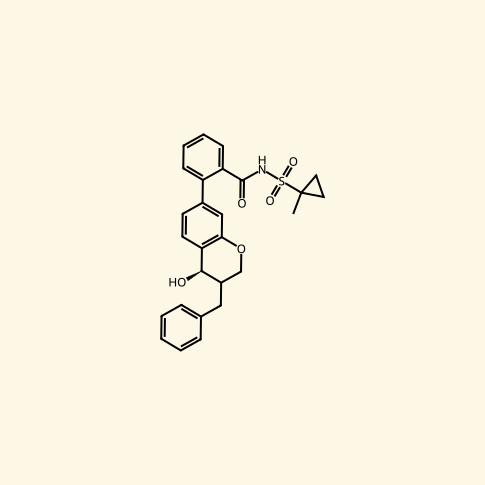 CC1(S(=O)(=O)NC(=O)c2ccccc2-c2ccc3c(c2)OCC(Cc2ccccc2)[C@H]3O)CC1